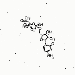 Nc1ccn([C@@H]2O[C@H](COP(=O)(O)OP(=O)(O)CP(=O)(O)O)[C@@H](O)[C@@H]2O)c(=O)n1